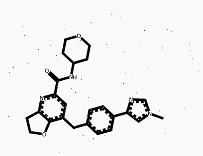 Cn1cnc(-c2ccc(Cc3cc(C(=O)NC4CCOCC4)nc4c3OCC4)cc2)c1